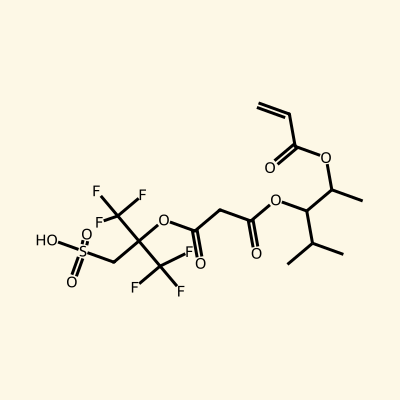 C=CC(=O)OC(C)C(OC(=O)CC(=O)OC(CS(=O)(=O)O)(C(F)(F)F)C(F)(F)F)C(C)C